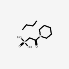 CCCC.O=C(CP(=O)(O)O)N1CCCCC1